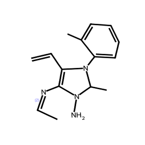 C=CC1=C(/N=C\C)N(N)C(C)N1c1ccccc1C